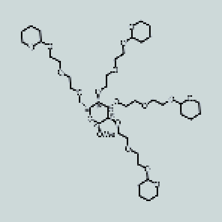 CO[C@H]1O[C@H](COCCOCCOC2CCCCO2)[C@@H](OCCOCCOC2CCCCO2)[C@H](OCCOCCOC2CCCCO2)[C@H]1OCCOCCOC1CCCCO1